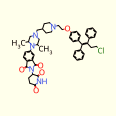 CC1CN(CC2CCN(CCOc3ccc(C(=C(CCCl)c4ccccc4)c4ccccc4)cc3)CC2)CC(C)N1c1ccc2c(c1)C(=O)N(C1CCC(=O)NC1=O)C2=O